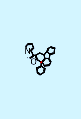 [c]1oc(Cc2ccccc2)c(CC2c3ccccc3-c3ccccc32)c1-c1ccccn1